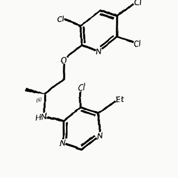 CCc1ncnc(N[C@@H](C)COc2nc(Cl)c(Cl)cc2Cl)c1Cl